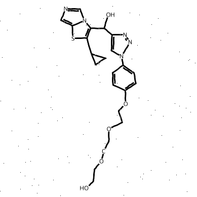 OCCOCCOCCOc1ccc(-n2cc(C(O)c3c(C4CC4)sc4cncn34)nn2)cc1